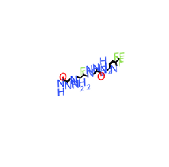 CNC(=O)/C(N)=C/N(N)CCC(F)CN(N)/C=C(\N)C(=O)NCc1ccc(C(F)(F)F)cn1